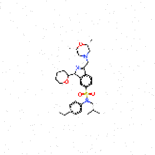 CCc1ccc(N(CC(C)C)S(=O)(=O)c2ccc3c(c2)C(C2CCCCO2)N=C3CN2C[C@@H](C)O[C@@H](C)C2)cc1